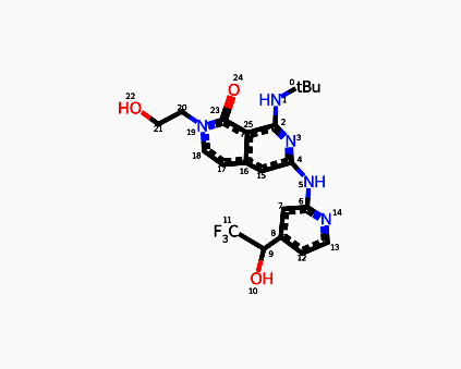 CC(C)(C)Nc1nc(Nc2cc(C(O)C(F)(F)F)ccn2)cc2ccn(CCO)c(=O)c12